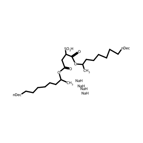 CCCCCCCCCCCCCCCCC(C)OC(=O)CC(C(=O)OC(C)CCCCCCCCCCCCCCCC)S(=O)(=O)O.[NaH].[NaH].[NaH].[NaH]